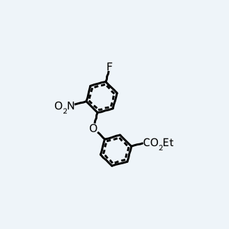 CCOC(=O)c1cccc(Oc2ccc(F)cc2[N+](=O)[O-])c1